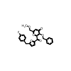 COCc1cc(=O)c(OCc2ccccc2)c(C(=O)c2ccc(Cc3ccc(F)cc3)o2)o1